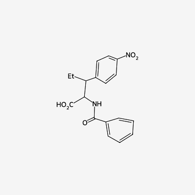 CCC(c1ccc([N+](=O)[O-])cc1)C(NC(=O)c1ccccc1)C(=O)O